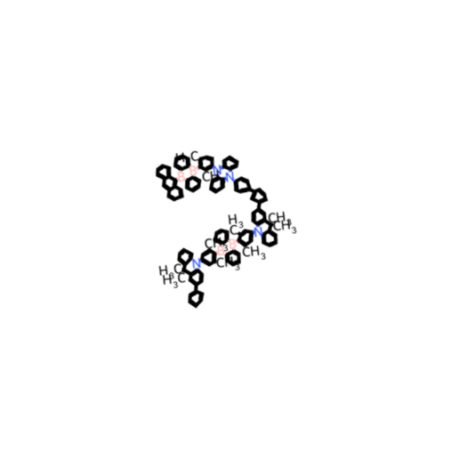 Cc1cc(N2c3ccccc3C(C)(C)c3cc(-c4ccccc4)ccc32)cc(C)c1B1c2ccccc2B(c2c(C)cc(N3c4ccccc4C(C)(C)c4cc(-c5cccc(-c6ccc(N7c8ccccc8N(c8ccc(C)c(B9c%10ccccc%10B(c%10c%11ccccc%11cc%11ccccc%10%11)c%10ccccc%109)c8C)c8ccccc87)cc6)c5)ccc43)cc2C)c2ccccc21